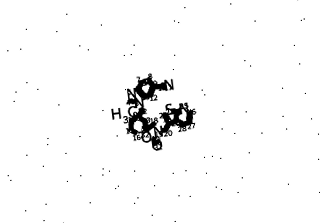 C[C@]1(Cn2cnc3ccc(C#N)cc32)CCC[C@@]2(CN(Cc3csc4ncccc34)C(=O)O2)C1